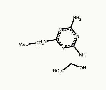 COC.Nc1nc(N)nc(N)n1.O=C(O)CO